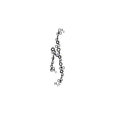 C=CC(=O)OCCCOc1ccc(OC(=O)C2CCC(COc3ccc(OCC4CCC(C(=O)Oc5ccc(OCCCOC(=O)C=C)cc5)CC4)c(/C=N/N(CCOCCOCCOC(=O)C=C)c4nc5ccccc5s4)c3)CC2)cc1